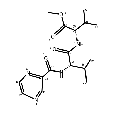 COC(=O)[C@@H](NC(=O)[C@@H](NC(=O)c1cnccn1)C(C)C)C(C)C